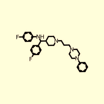 Fc1ccc(NC(c2ccc(F)cc2)C2CCN(CCCN3CCN(c4ccccc4)CC3)CC2)cc1